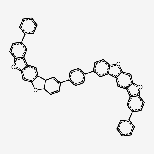 C1=CC2Oc3cc4oc5ccc(-c6ccccc6)cc5c4cc3C2C=C1c1ccc(-c2ccc3oc4cc5oc6ccc(-c7ccccc7)cc6c5cc4c3c2)cc1